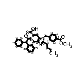 CCCCc1nc2c(n1Cc1ccc(C(=O)OC)cc1)C[C@@H](C(=O)O)N(C(=O)C(c1ccccc1)c1ccccc1)C2